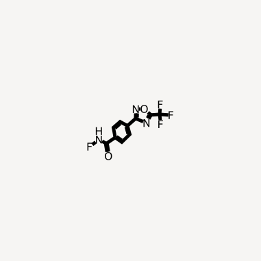 O=C(NF)c1ccc(-c2noc(C(F)(F)F)n2)cc1